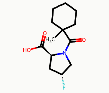 CC1(C(=O)N2C[C@H](F)C[C@H]2C(=O)O)CCCCC1